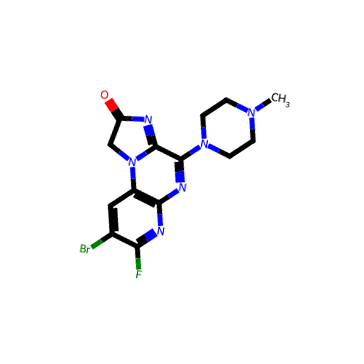 CN1CCN(C2=Nc3nc(F)c(Br)cc3N3CC(=O)N=C23)CC1